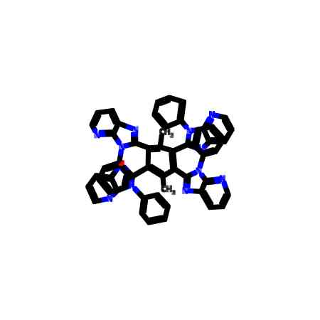 Cc1c(-c2nc3cccnc3n2-c2ccccc2)c(-c2nc3cccnc3n2-c2ccccc2)c(C)c(-c2nc3cccnc3n2-c2ccccc2)c1-c1nc2cccnc2n1-c1ccccc1